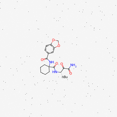 CCCC[C@H](NC(=O)C1(NC(=O)c2ccc3c(c2)OCO3)CCCCC1)C(=O)C(N)=O